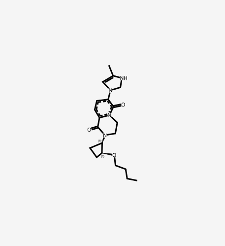 CCCCO[C@H]1CC[C@H]1N1CCn2c(ccc(N3C=C(C)NC3)c2=O)C1=O